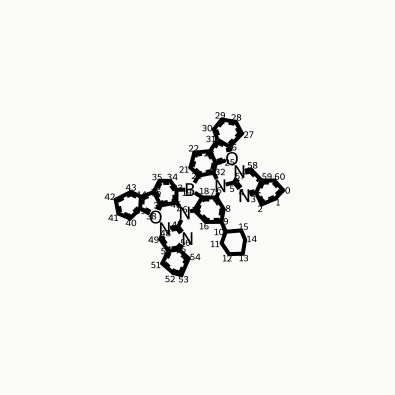 c1ccc2nc(N3c4cc(C5CCCCC5)cc5c4B(c4ccc6c(oc7ccccc76)c43)c3ccc4c(oc6ccccc64)c3N5c3ncc4ccccc4n3)ncc2c1